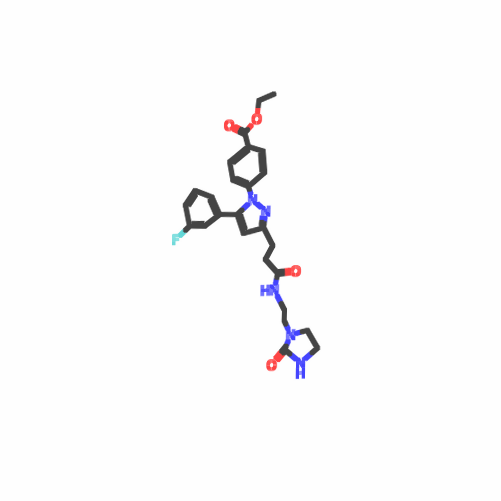 CCOC(=O)c1ccc(-n2nc(CCC(=O)NCCN3CCNC3=O)cc2-c2cccc(F)c2)cc1